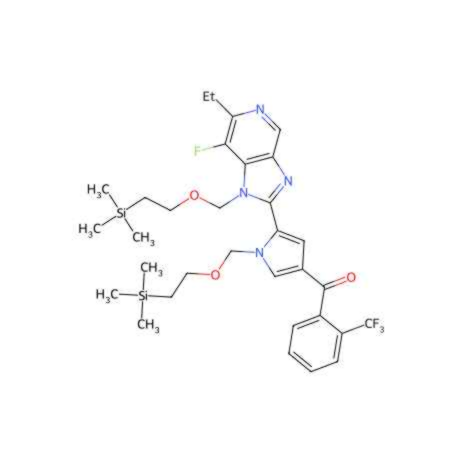 CCc1ncc2nc(-c3cc(C(=O)c4ccccc4C(F)(F)F)cn3COCC[Si](C)(C)C)n(COCC[Si](C)(C)C)c2c1F